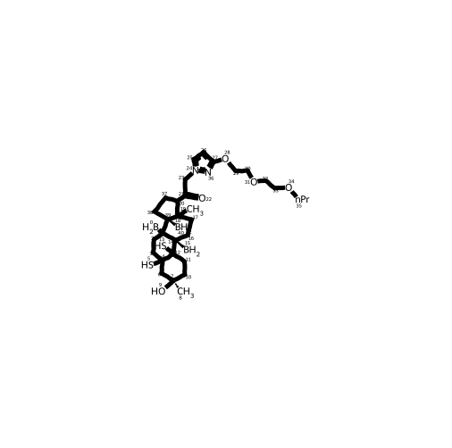 BC12CCC3(S)C[C@](C)(O)CCC3(S)[C@@]1(B)CCC1(C)C(C(=O)Cn3ccc(OCCOCCOCCC)n3)CC[C@]12B